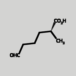 C[C@H](CCCC=O)C(=O)O